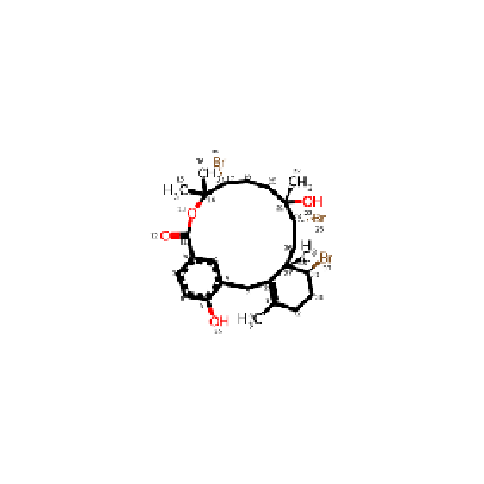 CC1=C2Cc3cc(ccc3O)C(=O)OC(C)(C)[C@H](Br)CC[C@](C)(O)[C@H](Br)C[C@]2(C)[C@@H](Br)CC1